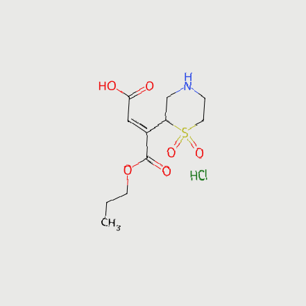 CCCOC(=O)/C(=C/C(=O)O)C1CNCCS1(=O)=O.Cl